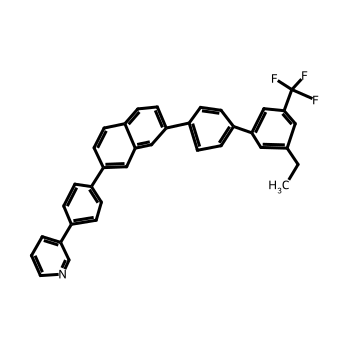 CCc1cc(-c2ccc(-c3ccc4ccc(-c5ccc(-c6cccnc6)cc5)cc4c3)cc2)cc(C(F)(F)F)c1